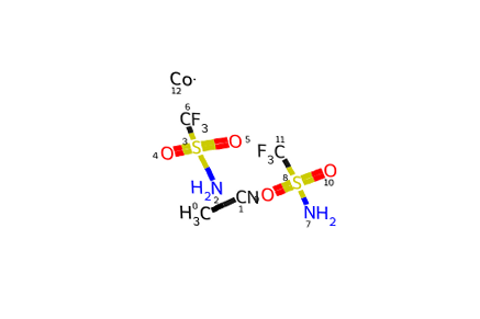 CC#N.NS(=O)(=O)C(F)(F)F.NS(=O)(=O)C(F)(F)F.[Co]